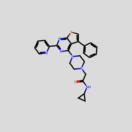 O=C(CN1CCN(c2nc(-c3ccccn3)nc3scc(-c4ccccc4)c23)CC1)NC1CC1